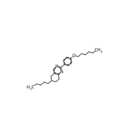 CCCCCCOc1ccc(-c2ncc3c(n2)CCC(CCCCC)C3)cc1